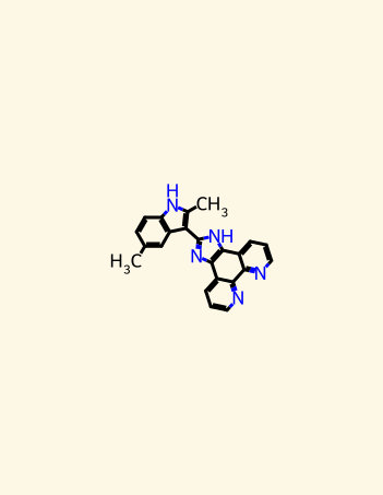 Cc1ccc2[nH]c(C)c(-c3nc4c5cccnc5c5ncccc5c4[nH]3)c2c1